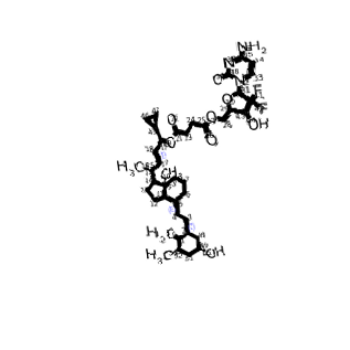 C=C1/C(=C\C=C2/CCC[C@@]3(C)C2CCC3[C@@H](C)/C=C/C(OC(=O)CCC(=O)OCC2OC(n3ccc(N)nc3=O)C(F)(F)C2O)C2CC2)C[C@@H](O)C[C@@H]1C